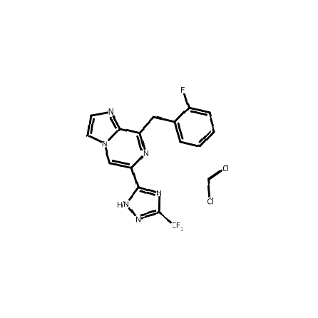 ClCCl.Fc1ccccc1Cc1nc(-c2nc(C(F)(F)F)n[nH]2)cn2ccnc12